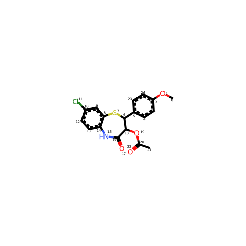 COc1ccc(C2Sc3cc(Cl)ccc3NC(=O)C2OC(C)=O)cc1